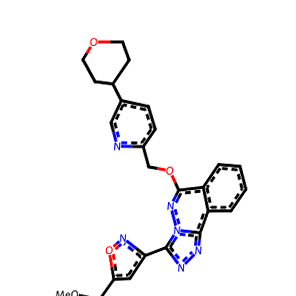 COCc1cc(-c2nnc3c4ccccc4c(OCc4ccc(C5CCOCC5)cn4)nn23)no1